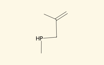 C=C(C)CPC